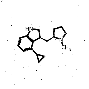 CN1CCC[C@@H]1C[C@@H]1CNc2cccc(C3CC3)c21